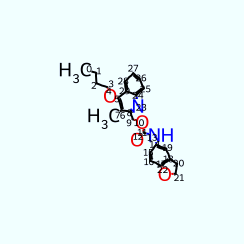 CCCCOc1c(C)c(COC(=O)Nc2ccc3c(c2)CCO3)nc2ccccc12